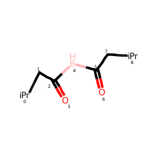 CC(C)CC(=O)BC(=O)CC(C)C